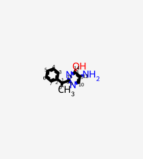 CC(c1ccccc1)c1ncc(N)c(O)n1